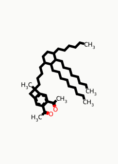 CCCCCCCCCC1C(CCCCC2(C)Cc3cc(C(C)=O)c(C(C)=O)cc32)CCC(CCCCCC)C1CCCCCCCC